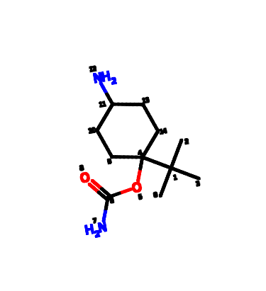 CC(C)(C)C1(OC(N)=O)CCC(N)CC1